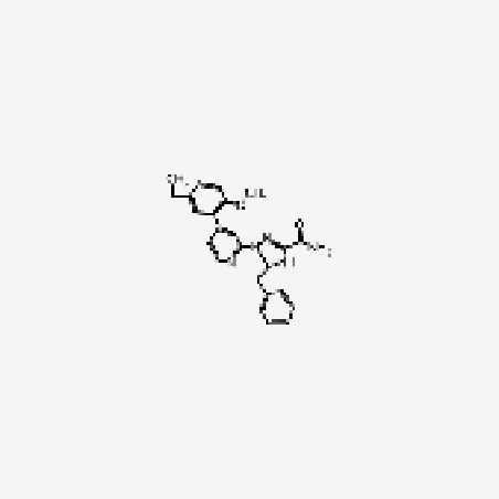 CCc1ccc(OC)c(-c2ccnc(N3N=C(C(N)=O)NC3Cc3ccccc3)c2)c1